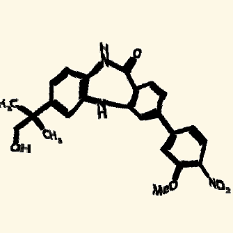 COc1cc(-c2ccc3c(c2)Nc2cc(C(C)(C)CO)ccc2NC3=O)ccc1[N+](=O)[O-]